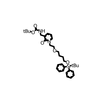 CC(C)(C)OC(=O)NCc1cccn(CCOCCCCO[Si](c2ccccc2)(c2ccccc2)C(C)(C)C)c1=O